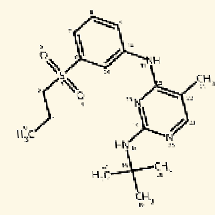 CCCS(=O)(=O)c1cccc(Nc2nc(NC(C)(C)C)ncc2C)c1